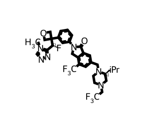 CC(C)[C@H]1CN(CC(F)(F)F)CCN1Cc1cc2c(c(C(F)(F)F)c1)CN(c1cccc(C3([C@H](F)c4nncn4C)COC3)c1)C2=O